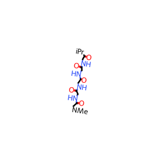 CNCC(=O)NCC(=O)NCC(=O)NCC(=O)NCC(=O)C(C)C